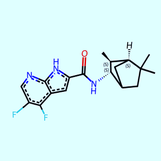 C[C@@H]1[C@@H](NC(=O)c2cc3c(F)c(F)cnc3[nH]2)C2C[C@@H]1C(C)(C)C2